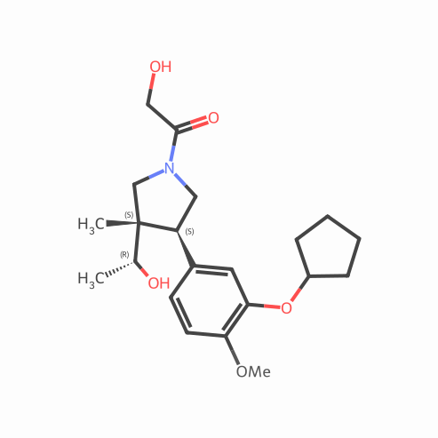 COc1ccc([C@@H]2CN(C(=O)CO)C[C@@]2(C)[C@@H](C)O)cc1OC1CCCC1